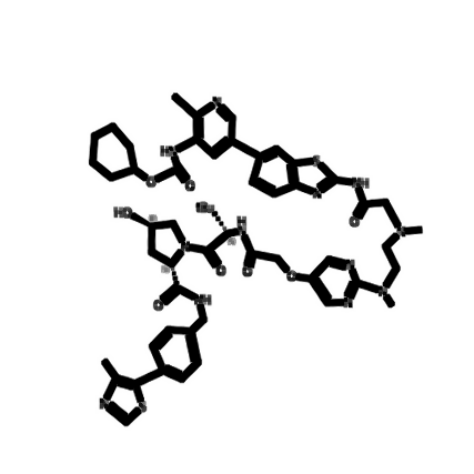 Cc1ncc(-c2ccc3nc(NC(=O)CN(C)CCN(C)c4ncc(OCC(=O)N[C@H](C(=O)N5C[C@H](O)C[C@H]5C(=O)NCc5ccc(-c6scnc6C)cc5)C(C)(C)C)cn4)sc3c2)cc1NC(=O)OC1CCCCC1